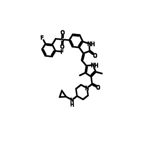 Cc1[nH]c(/C=C2\C(=O)Nc3ccc(S(=O)(=O)Cc4c(F)cccc4F)cc32)c(C)c1C(=O)N1CCC(NC2CC2)CC1